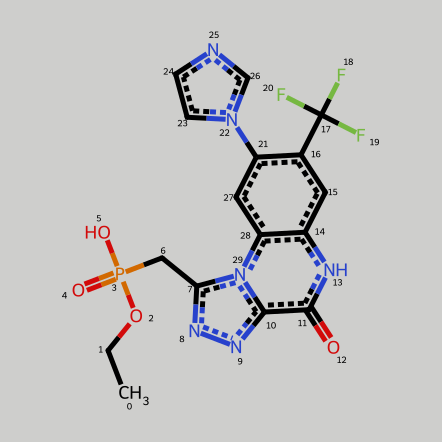 CCOP(=O)(O)Cc1nnc2c(=O)[nH]c3cc(C(F)(F)F)c(-n4ccnc4)cc3n12